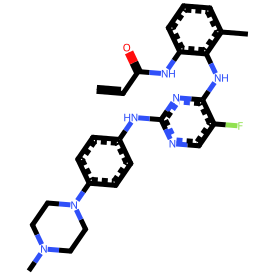 C=CC(=O)Nc1cccc(C)c1Nc1nc(Nc2ccc(N3CCN(C)CC3)cc2)ncc1F